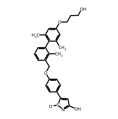 Cc1cc(OCCCO)cc(C)c1-c1cccc(COc2ccc(-c3cc(O)n[s+]3[O-])cc2)c1C